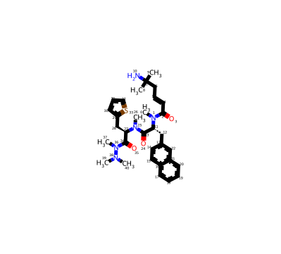 CN(C(=O)/C=C/CC(C)(C)N)[C@H](Cc1ccc2ccccc2c1)C(=O)N(C)[C@H](Cc1cccs1)C(=O)N(C)N(C)C